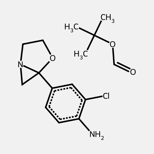 CC(C)(C)OC=O.Nc1ccc(C23CN2CCO3)cc1Cl